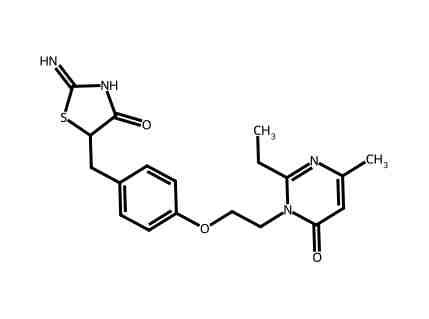 CCc1nc(C)cc(=O)n1CCOc1ccc(CC2SC(=N)NC2=O)cc1